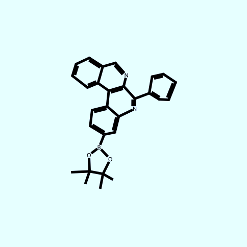 CC1(C)OB(c2ccc3c(c2)nc(-c2ccccc2)c2ncc4ccccc4c23)OC1(C)C